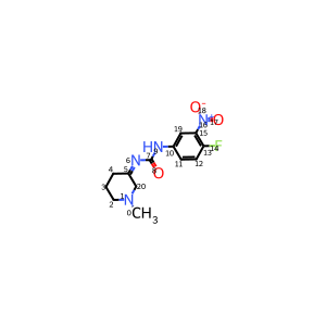 CN1CCC/C(=N/C(=O)Nc2ccc(F)c([N+](=O)[O-])c2)C1